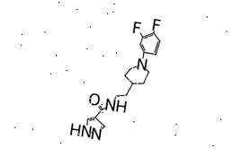 O=C(NCCC1CCN(c2ccc(F)c(F)c2)CC1)c1cn[nH]c1